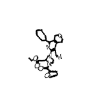 CCOC(=O)C1CN(c2nc(C3CCCCC3)c3c(c2C#N)CCOC3)CCN1C(=O)c1ccco1